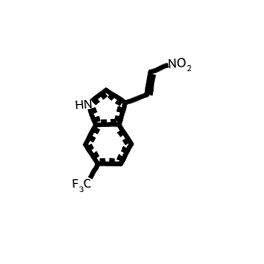 O=[N+]([O-])C=Cc1c[nH]c2cc(C(F)(F)F)ccc12